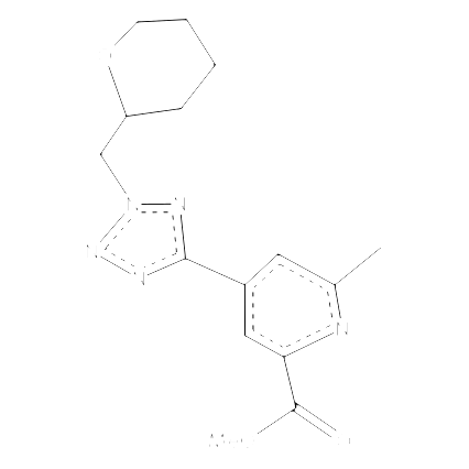 COC(=O)c1cc(-c2nnn(CC3CCCCO3)n2)cc(C)n1